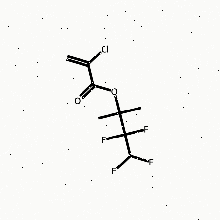 C=C(Cl)C(=O)OC(C)(C)C(F)(F)C(F)F